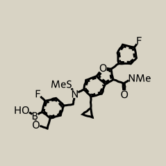 CNC(=O)c1c(-c2ccc(F)cc2)oc2cc(N(Cc3cc(F)c4c(c3)COB4O)SC)c(C3CC3)cc12